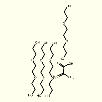 C=C(C)C(=O)O.OCCOCCOCCO.OCCOCCOCCO.OCCOCCOCCO.OCCOCCOCCO